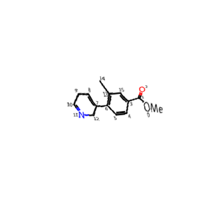 COC(=O)c1ccc(C2=CCC=NC2)c(C)c1